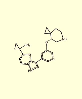 CC1(c2ccc3[nH]nc(-c4cncc(O[C@H]5CNCCC56CC6)n4)c3c2)CC1